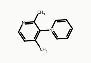 Cc1ccnc(C)c1-[n+]1ccccc1